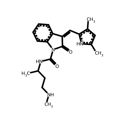 CNCCC(C)NC(=O)N1C(=O)/C(=C\c2[nH]c(C)cc2C)c2ccccc21